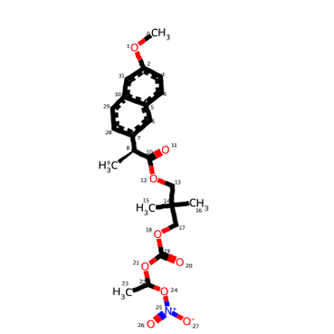 COc1ccc2cc([C@H](C)C(=O)OCC(C)(C)COC(=O)OC(C)O[N+](=O)[O-])ccc2c1